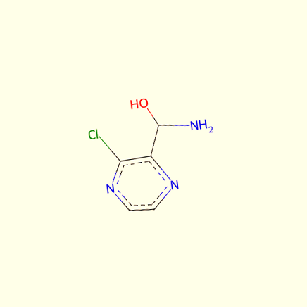 NC(O)c1nccnc1Cl